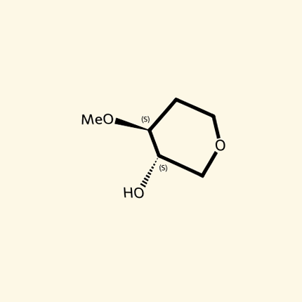 CO[C@H]1CCOC[C@@H]1O